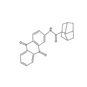 O=C1c2ccccc2C(=O)c2cc(NC(=O)C34CC5CC(CC(C5)C3)C4)ccc21